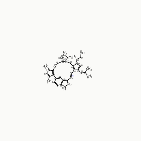 Cc1nn(C)c2c1-c1ccc3[nH]nc(c3c1)/C=C/c1c(OC(C)C)nn(CCO)c1CN(C(C)C)[C@@H](C)CO2